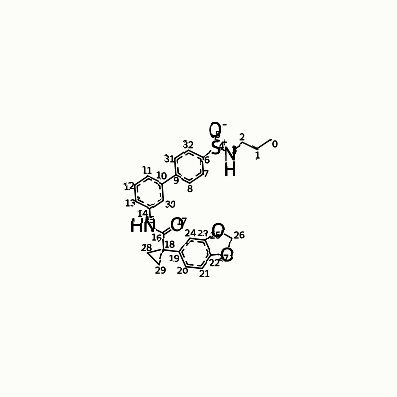 CCCN[S+]([O-])c1ccc(-c2cccc(NC(=O)C3(c4ccc5c(c4)OCO5)CC3)c2)cc1